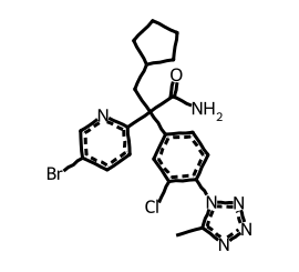 Cc1nnnn1-c1ccc(C(CC2CCCC2)(C(N)=O)c2ccc(Br)cn2)cc1Cl